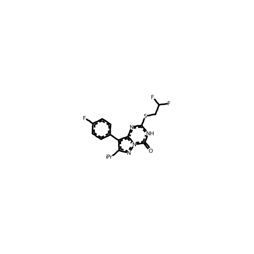 CC(C)c1nn2c(=O)[nH]c(SCC(F)F)nc2c1-c1ccc(F)cc1